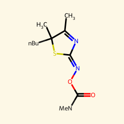 CCCCC1(C)SC(=NOC(=O)NC)N=C1C